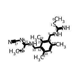 CSC(=N)NCc1c(C)cc(C)c(CN/C(=N/C#N)SC)c1C